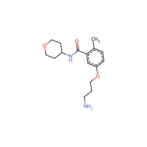 Cc1ccc(OCCCN)cc1C(=O)NC1CCOCC1